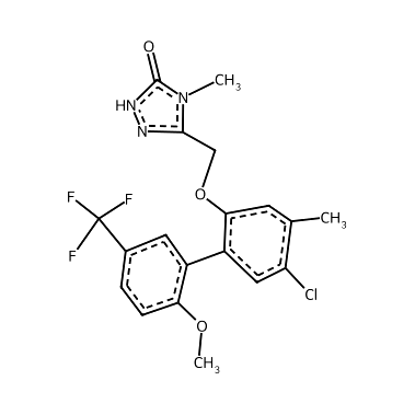 COc1ccc(C(F)(F)F)cc1-c1cc(Cl)c(C)cc1OCc1n[nH]c(=O)n1C